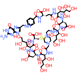 Nc1nc2ncc(CNc3ccc(C(=O)N[C@@H](CCC(=O)N[C@H](C(=O)N[C@@H](CC(=O)O)C(=O)N[C@H](C(=O)NCCN4CCN(CC(=O)N[C@H](C(=O)N[C@@H](CC(=O)O)C(=O)N[C@H](C(=O)N[C@H](CS)C(=O)O)[C@@H](O)[C@H](O)[C@H](O)CO)[C@@H](O)[C@H](O)[C@H](O)CO)CC4)[C@@H](O)[C@H](O)[C@H](O)CO)[C@@H](O)[C@H](O)[C@H](O)CO)C(=O)O)cc3)nc2c(=O)[nH]1